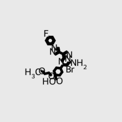 COCCOC1(C(=O)O)CCC(c2nc3c(-c4cnn(-c5ccc(F)cc5)c4)cnn3c(N)c2Br)CC1